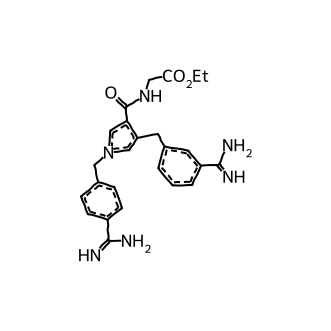 CCOC(=O)CNC(=O)c1cn(Cc2ccc(C(=N)N)cc2)cc1Cc1cccc(C(=N)N)c1